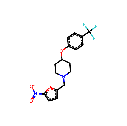 O=[N+]([O-])c1ccc(CN2CCC(Oc3ccc(C(F)(F)F)cc3)CC2)o1